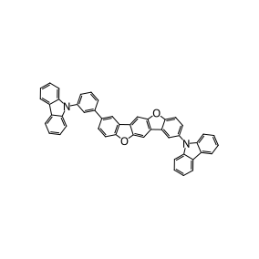 c1cc(-c2ccc3oc4cc5c(cc4c3c2)oc2ccc(-n3c4ccccc4c4ccccc43)cc25)cc(-n2c3ccccc3c3ccccc32)c1